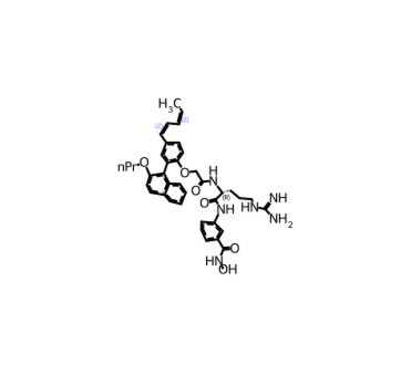 C/C=C\C=C/c1ccc(OCC(=O)N[C@H](CCCNC(=N)N)C(=O)Nc2cccc(C(=O)NO)c2)c(-c2c(OCCC)ccc3ccccc23)c1